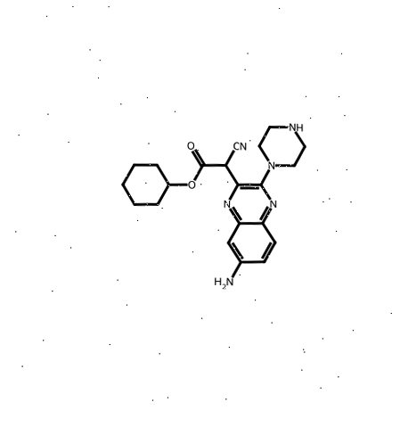 N#CC(C(=O)OC1CCCCC1)c1nc2cc(N)ccc2nc1N1CCNCC1